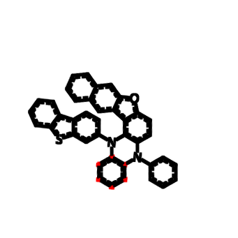 c1ccc(N(c2ccccc2)c2ccc3oc4cc5ccccc5cc4c3c2N(c2ccccc2)c2ccc3c(c2)sc2ccccc23)cc1